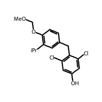 COCOc1ccc(Cc2c(Cl)cc(O)cc2Cl)cc1C(C)C